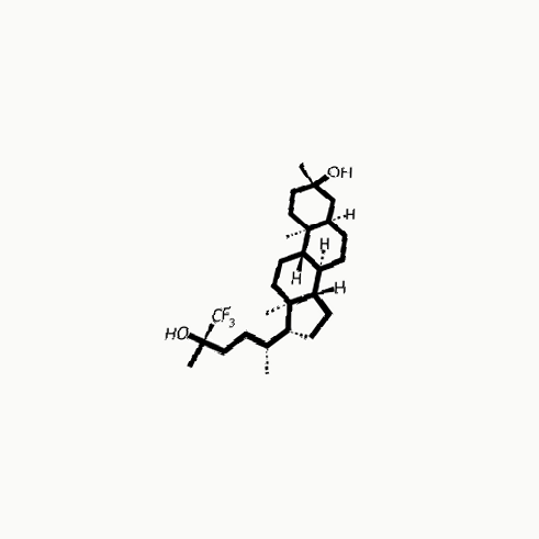 C[C@H](CC[C@](C)(O)C(F)(F)F)[C@H]1CC[C@H]2[C@@H]3CC[C@@H]4C[C@@](C)(O)CC[C@]4(C)[C@H]3CC[C@]12C